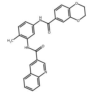 Cc1ccc(NC(=O)c2ccc3c(c2)OCCO3)cc1NC(=O)c1cnc2ccccc2c1